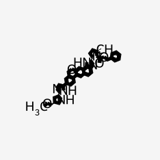 COC[C@@H]1CN[C@H](c2ncc(-c3ccc4c(c3)COc3cc5c(ccc6nc([C@@H]7CC[C@H](C)N7C(=O)OCc7ccccc7)[nH]c65)cc3-4)[nH]2)C1